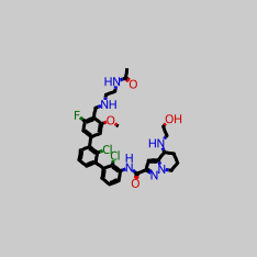 COc1cc(-c2cccc(-c3cccc(NC(=O)c4cc5n(n4)CCCC5NCCO)c3Cl)c2Cl)cc(F)c1CNCCNC(C)=O